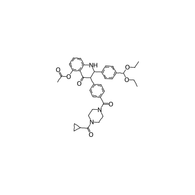 CCOC(OCC)c1ccc(C2Nc3cccc(OC(C)=O)c3C(=O)C2c2ccc(C(=O)N3CCN(C(=O)C4CC4)CC3)cc2)cc1